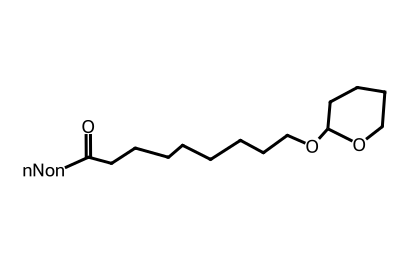 CCCCCCCCCC(=O)CCCCCCCCOC1CCCCO1